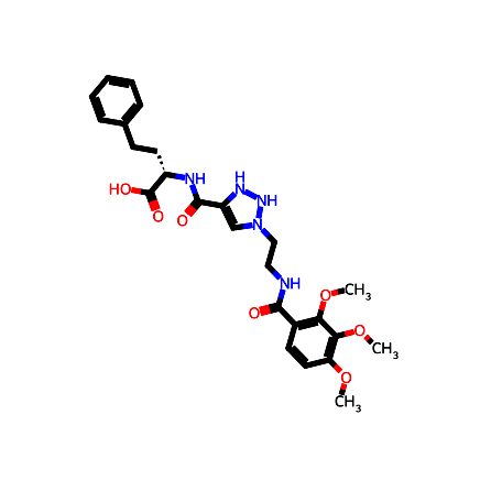 COc1ccc(C(=O)NCCN2C=C(C(=O)N[C@@H](CCc3ccccc3)C(=O)O)NN2)c(OC)c1OC